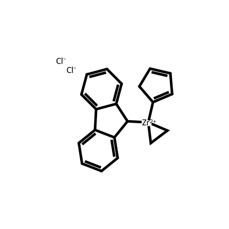 C1=CC[C]([Zr+2]2([CH]3c4ccccc4-c4ccccc43)[CH2][CH2]2)=C1.[Cl-].[Cl-]